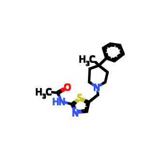 CC(=O)Nc1ncc(CN2CCC(C)(c3ccccc3)CC2)s1